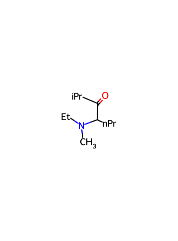 CCCC(C(=O)C(C)C)N(C)CC